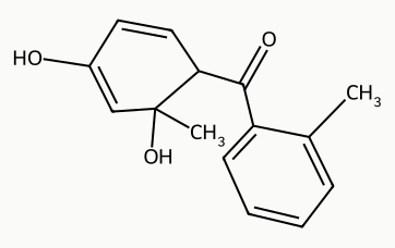 Cc1ccccc1C(=O)C1C=CC(O)=CC1(C)O